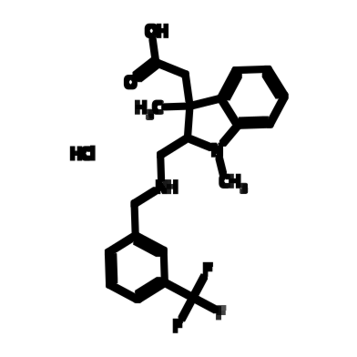 CN1c2ccccc2C(C)(CC(=O)O)C1CNCc1cccc(C(F)(F)F)c1.Cl